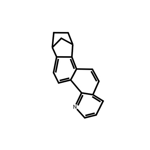 c1cnc2c(c1)ccc1c3c(ccc12)C1CCC3C1